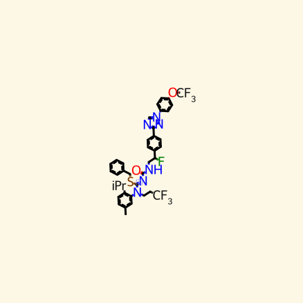 Cc1ccc(C(C)C)c(N(CCC(F)(F)F)/C(=N/C(=O)NCC(F)c2ccc(-c3ncn(-c4ccc(OC(F)(F)F)cc4)n3)cc2)SCc2ccccc2)c1